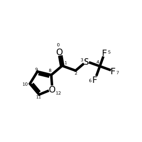 O=C(CSC(F)(F)F)c1ccco1